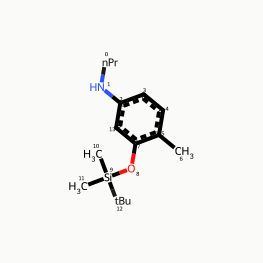 CCCNc1ccc(C)c(O[Si](C)(C)C(C)(C)C)c1